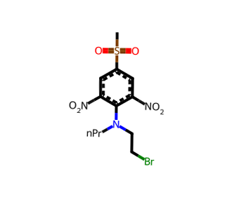 CCCN(CCBr)c1c([N+](=O)[O-])cc(S(C)(=O)=O)cc1[N+](=O)[O-]